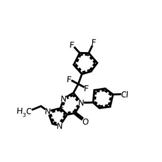 CCn1cnc2c(=O)n(-c3ccc(Cl)cc3)c(C(F)(F)c3ccc(F)c(F)c3)nc21